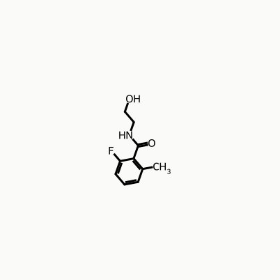 Cc1cccc(F)c1C(=O)NCCO